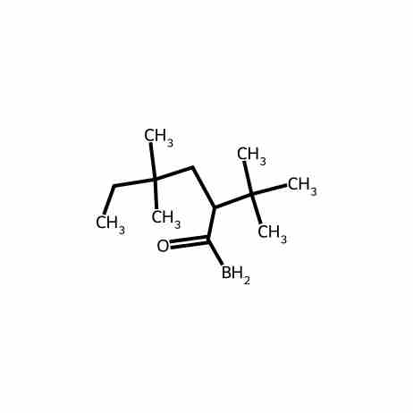 BC(=O)C(CC(C)(C)CC)C(C)(C)C